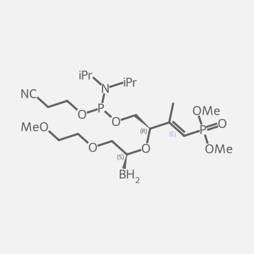 B[C@@H](COCCOC)O[C@@H](COP(OCCC#N)N(C(C)C)C(C)C)/C(C)=C/P(=O)(OC)OC